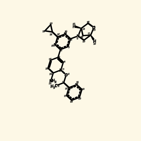 CC(ON1C=C(c2cc(N3C[C@@H]4C[C@H]3CO4)nc(C3CC3)n2)C=CC1N)c1ccccn1